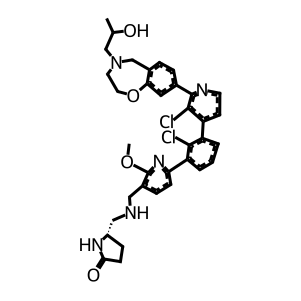 COc1nc(-c2cccc(-c3ccnc(-c4ccc5c(c4)OCCN(CC(C)O)C5)c3Cl)c2Cl)ccc1CNC[C@@H]1CCC(=O)N1